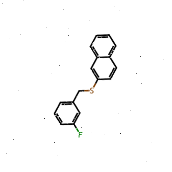 Fc1cccc(CSc2ccc3ccccc3c2)c1